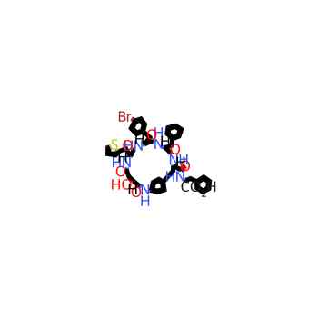 O=C1C[C@@H](O)C(=O)Nc2ccc(cc2)C[C@H](C(=O)N[C@@H](Cc2ccccc2)C(=O)O)NC(=O)[C@H](Cc2ccccc2)NC(=O)[C@@H](Cc2ccc(Br)cc2)NC(=O)[C@H](Cc2cccs2)N1